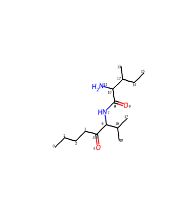 CCCCC(=O)C(NC(=O)C(N)C(C)CC)C(C)C